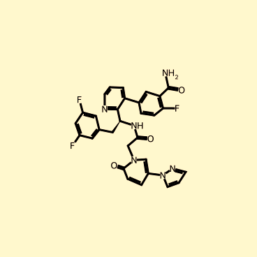 NC(=O)c1cc(-c2cccnc2[C@H](Cc2cc(F)cc(F)c2)NC(=O)Cn2cc(-n3cccn3)ccc2=O)ccc1F